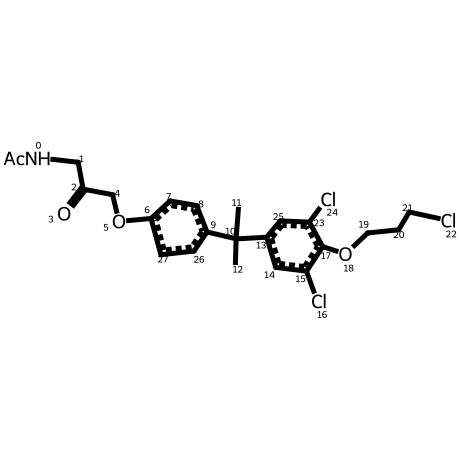 CC(=O)NCC(=O)COc1ccc(C(C)(C)c2cc(Cl)c(OCCCCl)c(Cl)c2)cc1